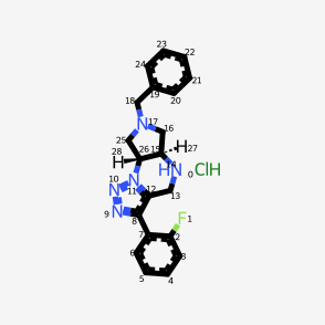 Cl.Fc1ccccc1-c1nnn2c1CN[C@@H]1CN(Cc3ccccc3)C[C@H]12